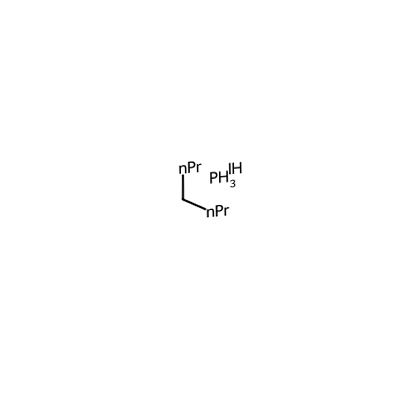 CCCCCCC.I.P